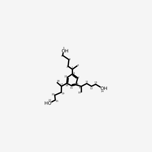 CC(CCCO)c1cc(C(C)CCCO)cc(C(C)CCCO)c1